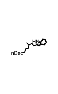 CCCCCCCCCCCCCC(C)CCc1cc2ccccc2[nH]1